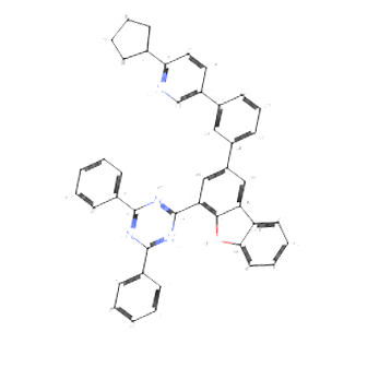 c1ccc(-c2nc(-c3ccccc3)nc(-c3cc(-c4cccc(-c5ccc(C6CCCC6)nc5)c4)cc4c3oc3ccccc34)n2)cc1